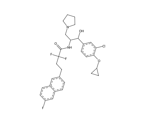 O=C(NC(CN1CCCC1)C(O)c1ccc(OC2CC2)c(Cl)c1)C(F)(F)CCc1ccc2cc(F)ccc2c1